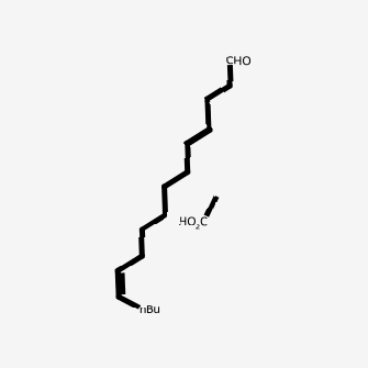 CC(=O)O.CCCC/C=C\CCCCCCCCCC=O